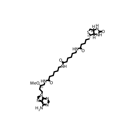 CO[C@@H](CCn1cnc2c(N)ncnc21)CNC(=O)CCCCCNC(=O)CCCCCNC(=O)CCCC[C@@H]1SC[C@@H]2NC(=O)N[C@@H]21